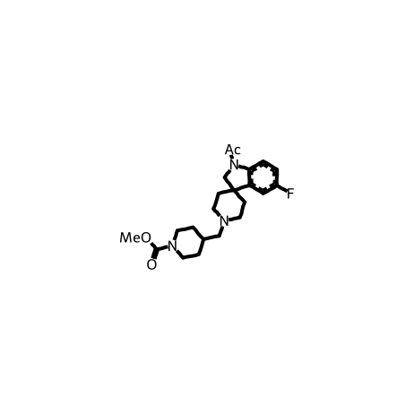 COC(=O)N1CCC(CN2CCC3(CC2)CN(C(C)=O)c2ccc(F)cc23)CC1